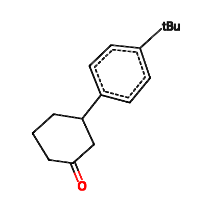 CC(C)(C)c1ccc(C2CCCC(=O)C2)cc1